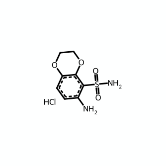 Cl.Nc1ccc2c(c1S(N)(=O)=O)OCCO2